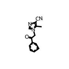 Cc1c(C#N)ncn1CC(=O)c1ccccc1